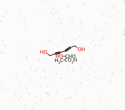 CC(=O)O.O=CO.OCC#CC#CCO